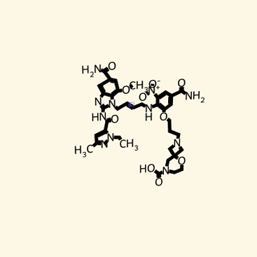 CCn1nc(C)cc1C(=O)Nc1nc2cc(C(N)=O)cc(OC)c2n1C/C=C/CNc1c(OCCCN2CC3(C2)CN(C(=O)O)CCO3)cc(C(N)=O)cc1[N+](=O)[O-]